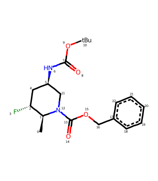 C[C@H]1[C@H](F)C[C@@H](NC(=O)OC(C)(C)C)CN1C(=O)OCc1ccccc1